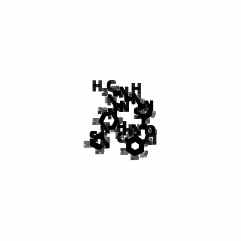 Cc1nc(Nc2ncc(C(=O)Nc3c(C)cccc3Cl)s2)nc(N2CCN(c3nccs3)CC2)n1